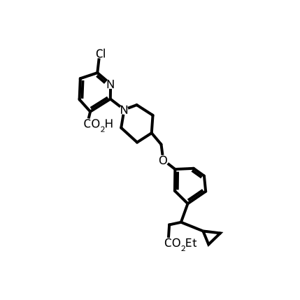 CCOC(=O)CC(c1cccc(OCC2CCN(c3nc(Cl)ccc3C(=O)O)CC2)c1)C1CC1